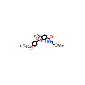 CCCCCCCCCCOc1ccc(C(=O)Nc2cc(C(=O)NCCOC)ccc2CCC)cc1